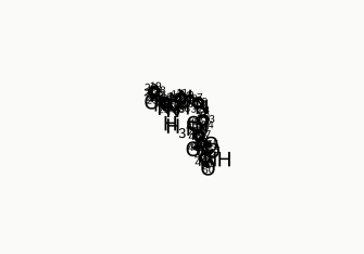 C[C@@H]1C[C@H](CN2CCC(CN3CCN4c5cc(-c6ccccc6O)nnc5NC[C@H]4C3)CC2)CCN1c1cc2c(cc1F)C(=O)N(C1CCC(=O)NC1=O)C2=O